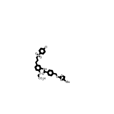 CC(C)(C)c1csc(OCc2ccc(C(=O)Nc3cc(CCCS(=O)(=O)c4ccc(Cl)cc4)ccc3OCC(=O)O)cc2)n1